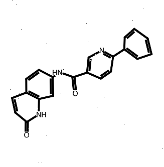 O=C(Nc1ccc2ccc(=O)[nH]c2c1)c1ccc(-c2ccccc2)nc1